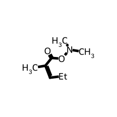 CCC=C(C)C(=O)ON(C)C